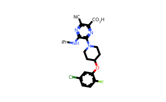 CC(C)Nc1nc(C#N)c(C(=O)O)nc1N1CCC(Oc2cc(Cl)ccc2F)CC1